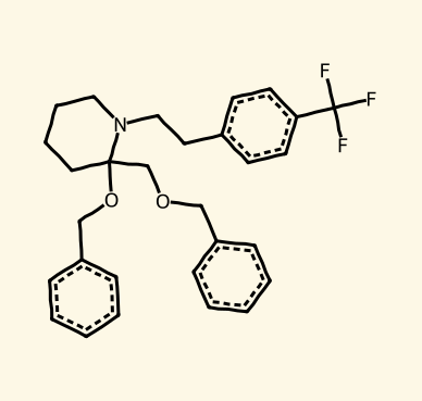 FC(F)(F)c1ccc(CCN2CCCCC2(COCc2ccccc2)OCc2ccccc2)cc1